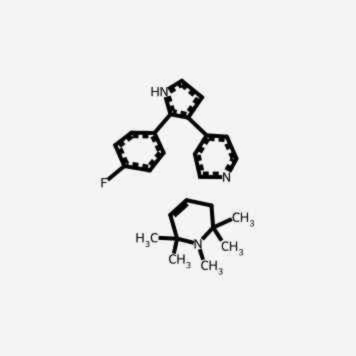 CN1C(C)(C)C=CCC1(C)C.Fc1ccc(-c2[nH]ccc2-c2ccncc2)cc1